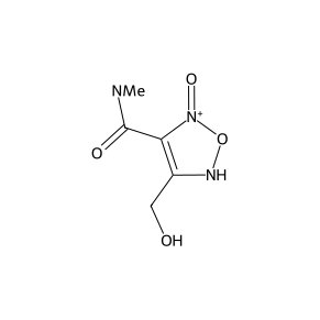 CNC(=O)c1c(CO)[nH]o[n+]1=O